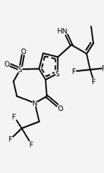 C/C=C(\C(=N)c1cc2c(s1)C(=O)N(CC(F)(F)F)CCS2(=O)=O)C(F)(F)F